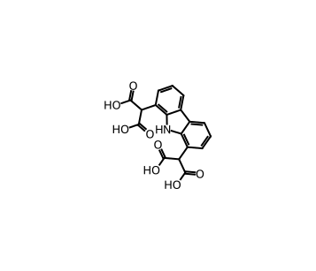 O=C(O)C(C(=O)O)c1cccc2c1[nH]c1c(C(C(=O)O)C(=O)O)cccc12